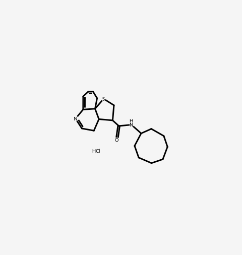 Cl.O=C(NC1CCCCCCC1)C1CSC23CC=CC=C2N=CCC13